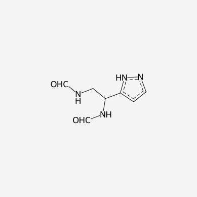 O=CNCC(NC=O)c1ccn[nH]1